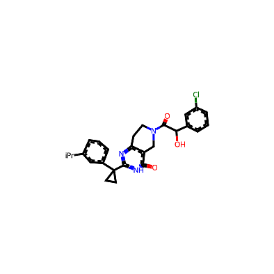 CC(C)c1cccc(C2(c3nc4c(c(=O)[nH]3)CN(C(=O)C(O)c3cccc(Cl)c3)CC4)CC2)c1